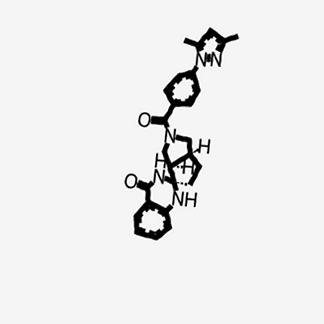 Cc1cc(C)n(-c2ccc(C(=O)N3C[C@H]4CC[C@]5(NC(=O)c6ccccc6N5)[C@H]4C3)cc2)n1